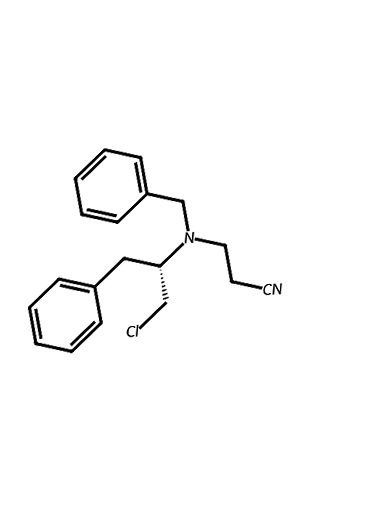 N#CCCN(Cc1ccccc1)[C@H](CCl)Cc1ccccc1